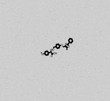 COc1ccc(C(=NOCc2ccc(OCc3nc(-c4ccccc4)oc3C)cc2)C(=O)O)cc1